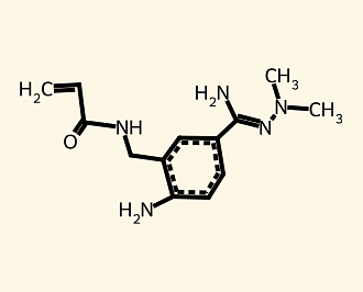 C=CC(=O)NCc1cc(/C(N)=N/N(C)C)ccc1N